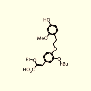 CCCCOc1cc(C=C(OCC)C(=O)O)ccc1OCCc1ccc(O)cc1OC